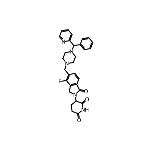 O=C1CCC(N2Cc3c(ccc(CN4CCN(C(c5ccccc5)c5ccccn5)CC4)c3F)C2=O)C(=O)N1